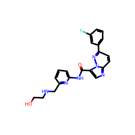 O=C(Nc1cccc(CNCCO)n1)c1cnc2ccc(-c3cccc(F)c3)nn12